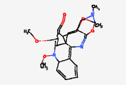 COC1=C2N(OC)C3C=CC=CC3=C3N=C4OCOC4=CC32C(CCN(C)C)C(=O)C1